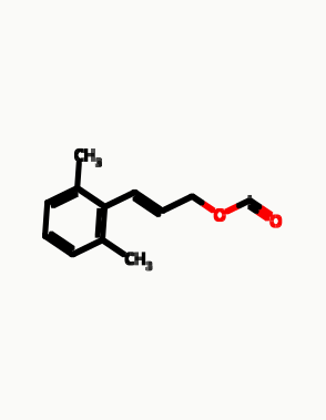 Cc1cccc(C)c1/C=C/CO[C]=O